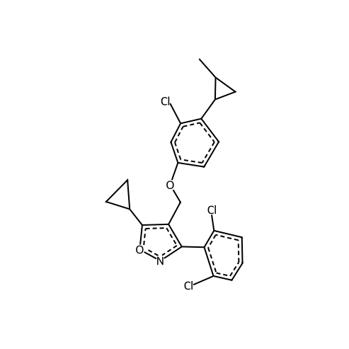 CC1CC1c1ccc(OCc2c(-c3c(Cl)cccc3Cl)noc2C2CC2)cc1Cl